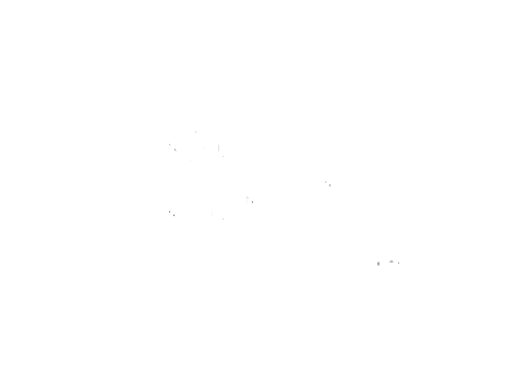 C=C1/C(CCN2CCC(C3=NCc4cc(CCCCCC)ccc43)CC2)=C(C)\N=C\CCCCN1C